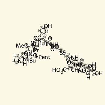 CCCCCOCN(C(=O)[C@@H](NC(=O)[C@H]1CCCCN1C)C(C)CC)[C@H](C[C@@H](OC)c1nc(C(=O)N[C@@H](Cc2ccc(O)cc2)C[C@H](C)C(=O)NNC(=O)OCCSSCCC(=O)NC(CCC(=O)NCC(O)C(O)C(O)C(O)CO)C(=O)NC(C=O)CCC(=O)O)cs1)C(C)C